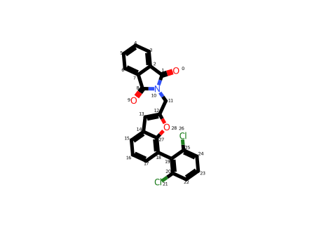 O=C1c2ccccc2C(=O)N1Cc1cc2cccc(-c3c(Cl)cccc3Cl)c2o1